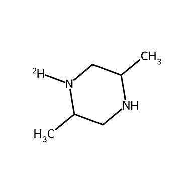 [2H]N1CC(C)NCC1C